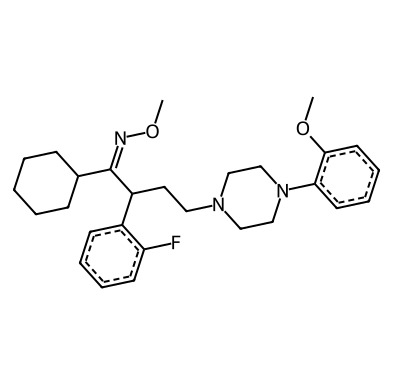 CON=C(C1CCCCC1)C(CCN1CCN(c2ccccc2OC)CC1)c1ccccc1F